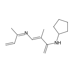 C=C/C(C)=N\C=C(/C)C(=C)NC1CCCC1